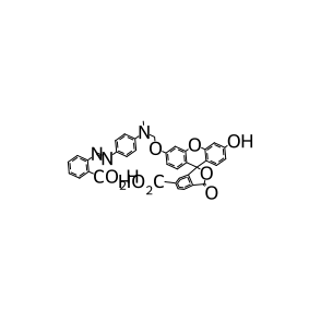 CN(COc1ccc2c(c1)Oc1cc(O)ccc1C21OC(=O)c2ccc(C(=O)O)cc21)c1ccc(/N=N/c2ccccc2C(=O)O)cc1